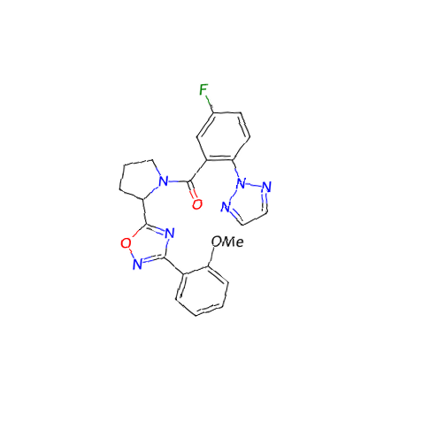 COc1ccccc1-c1noc(C2CCCN2C(=O)c2cc(F)ccc2-n2nccn2)n1